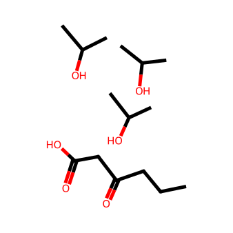 CC(C)O.CC(C)O.CC(C)O.CCCC(=O)CC(=O)O